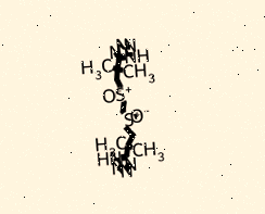 CC(C)(CC[S+]([O-])CC[S+]([O-])CCC(C)(C)c1nnn[nH]1)c1nnn[nH]1